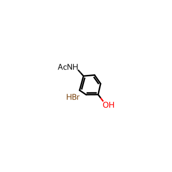 Br.CC(=O)Nc1ccc(O)cc1